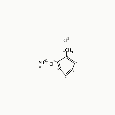 Cc1ccccc1.[Cl-].[Cl-].[Cl-].[Sb+3]